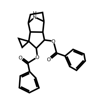 O=C(OC1C2C3CCC(N3)C2C2(CC2)C1OC(=O)c1ccccc1)c1ccccc1